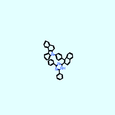 c1ccc(C2=NC(c3ccc4ccccc4c3-c3ccc(-n4c5ccccc5c5c6ccccc6ccc54)cc3)NC(c3ccccc3)=N2)cc1